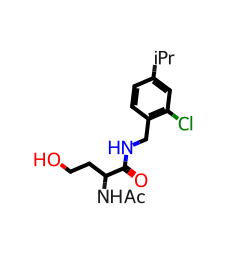 CC(=O)NC(CCO)C(=O)NCc1ccc(C(C)C)cc1Cl